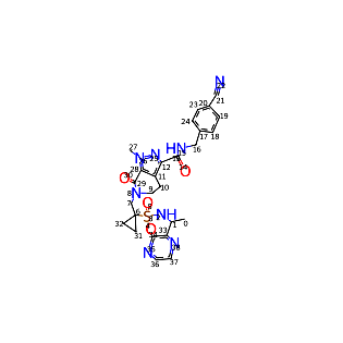 CC(NS(=O)(=O)C1(CN2CCc3c(C(=O)NCc4ccc(C#N)cc4)nn(C)c3C2=O)CC1)c1cnccn1